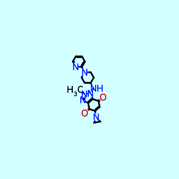 C[n+]1nc2c(n1NC1CCN(c3ccccn3)CC1)C(=O)C=C(N1CC1)C2=O